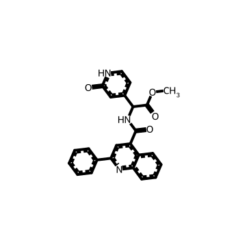 COC(=O)C(NC(=O)c1cc(-c2ccccc2)nc2ccccc12)c1cc[nH]c(=O)c1